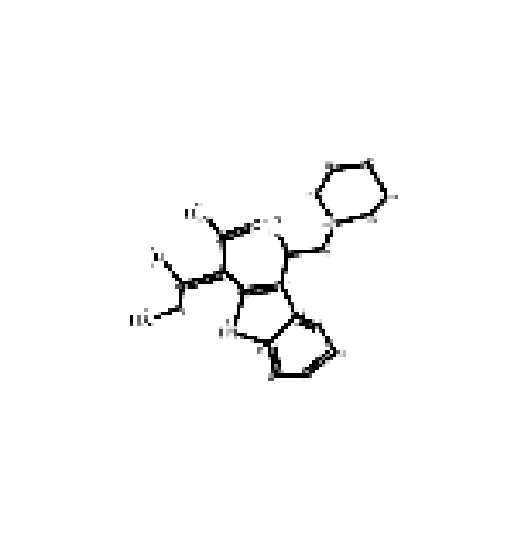 CC/C(N)=C(/C(C)=O)c1[nH]c2ccccc2c1C(O)CN1CCCCC1